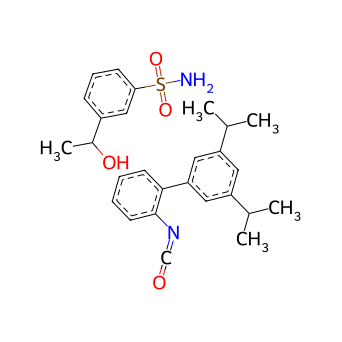 CC(C)c1cc(-c2ccccc2N=C=O)cc(C(C)C)c1.CC(O)c1cccc(S(N)(=O)=O)c1